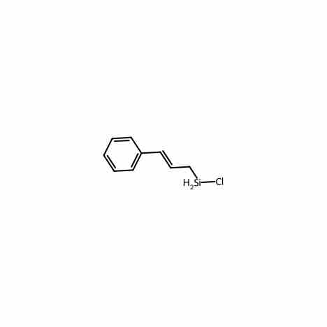 Cl[SiH2]CC=Cc1ccccc1